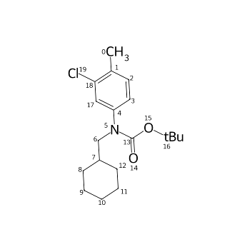 Cc1ccc(N(CC2CCCCC2)C(=O)OC(C)(C)C)cc1Cl